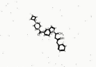 CC(CC(=N)Cc1ccccc1)n1ccc2cc(C(=O)N3CCN(C4CCC4)CC3)ccc21